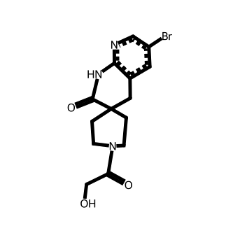 O=C(CO)N1CCC2(CC1)Cc1cc(Br)cnc1NC2=O